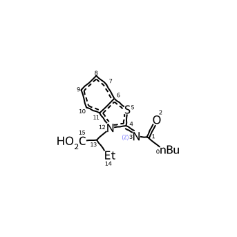 CCCCC(=O)/N=c1\sc2ccccc2n1C(CC)C(=O)O